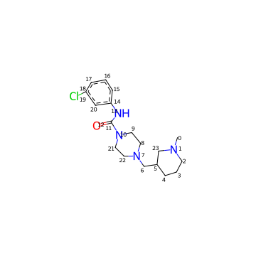 CN1CCCC(CN2CCN(C(=O)Nc3cccc(Cl)c3)CC2)C1